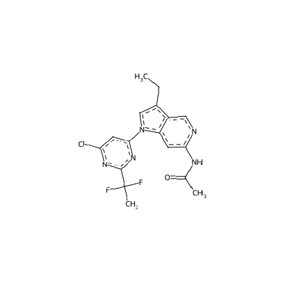 CCc1cn(-c2cc(Cl)nc(C(C)(F)F)n2)c2cc(NC(C)=O)ncc12